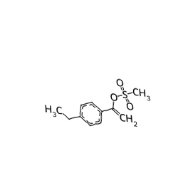 C=C(OS(C)(=O)=O)c1ccc(CC)cc1